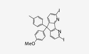 COc1ccc(C2(c3ccc(C)cc3)c3ccc(I)nc3-c3nc(I)ccc32)cc1